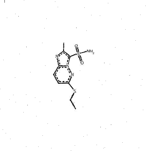 CCSc1ccc2nc(C)c(S(N)(=O)=O)n2n1